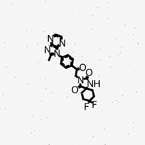 Cc1nc2nccnc2n1-c1ccc(C(=O)CN2C(=O)NC3(CCC(F)(F)CC3)C2=O)cc1